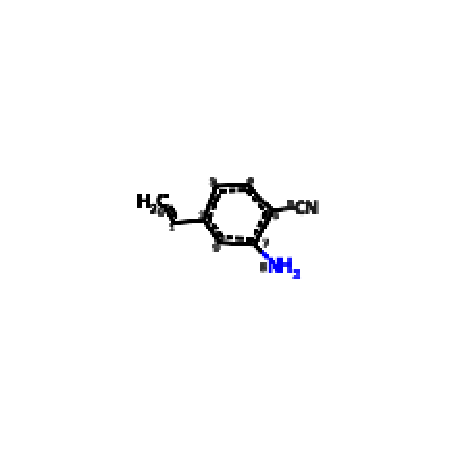 C=Cc1ccc(C#N)c(N)c1